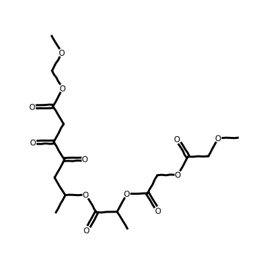 COCOC(=O)CC(=O)C(=O)CC(C)OC(=O)C(C)OC(=O)COC(=O)COC